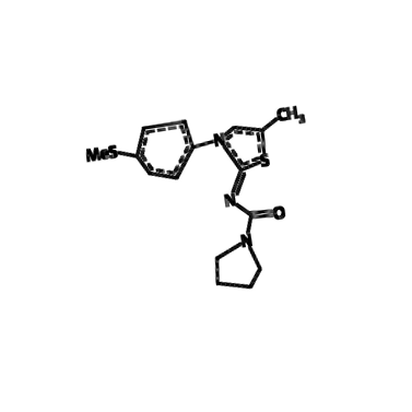 CSc1ccc(-n2cc(C)sc2=NC(=O)N2CCCC2)cc1